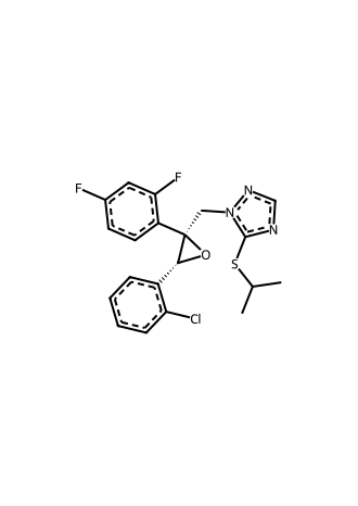 CC(C)Sc1ncnn1C[C@]1(c2ccc(F)cc2F)O[C@@H]1c1ccccc1Cl